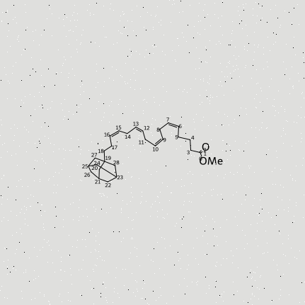 COC(=O)CCC/C=C\C/C=C\C/C=C\C/C=C\CCC12CC3CC(CC(C3)C1)C2